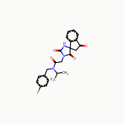 CC(N(Cc1ccc(F)cc1)C(=O)CN1C(=O)NC2(CC(=O)c3ccccc32)C1=O)C(F)(F)F